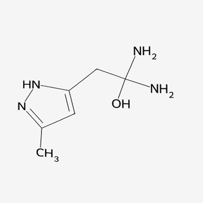 Cc1cc(CC(N)(N)O)[nH]n1